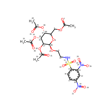 CC(=O)OCC1O[C@@H](OCCNS(=O)(=O)c2ccc([N+](=O)[O-])cc2[N+](=O)[O-])C(OC(C)=O)[C@H](OC(C)=O)[C@@H]1OC(C)=O